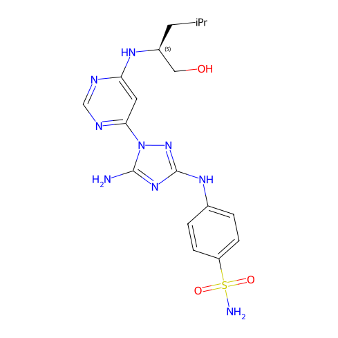 CC(C)C[C@@H](CO)Nc1cc(-n2nc(Nc3ccc(S(N)(=O)=O)cc3)nc2N)ncn1